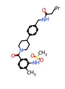 Cc1ccc(C(=O)N2CCC(c3ccc(CNC(=O)CC(C)C)cc3)CC2)cc1NS(C)(=O)=O